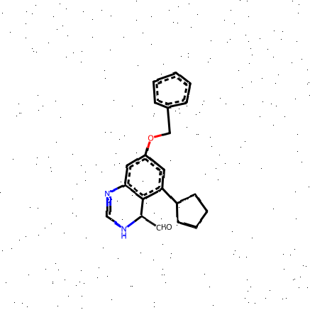 O=CC1NC=Nc2cc(OCc3ccccc3)cc(C3CCCC3)c21